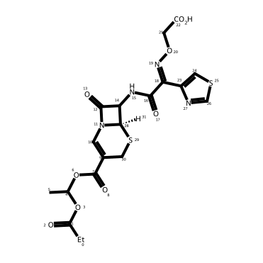 CCC(=O)OC(C)OC(=O)C1=CN2C(=O)C(NC(=O)C(=NOCC(=O)O)c3cscn3)[C@H]2SC1